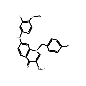 CC(C)Oc1ccc(Nc2ccc3c(=O)c(C(=O)O)cn(Cc4ccc(Cl)cc4)c3c2)cc1F